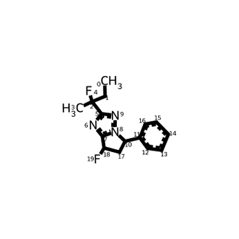 CCC(C)(F)c1nc2n(n1)C(c1ccccc1)CC2F